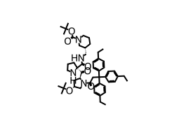 CCc1ccc(C(CC(=O)N2C[C@H](OC(C)(C)C)C[C@H]2C(=O)[C@@]2(C(=O)NC[C@H]3CCCN(C(=O)OC(C)(C)C)C3)CCCN2)(c2ccc(CC)cc2)c2ccc(CC)cc2)cc1